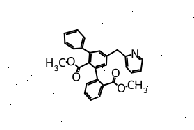 COC(=O)c1ccccc1-c1cc(Cc2ccccn2)cc(-c2ccccc2)c1C(=O)OC